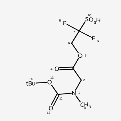 CN(CC(=O)OCC(F)(F)S(=O)(=O)O)C(=O)OC(C)(C)C